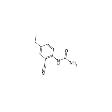 CCc1ccc(NC(N)=O)c(C#N)c1